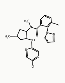 CC1CC(Nc2cnc(Cl)cn2)C(N(C)C(=O)c2cccc(F)c2-n2nccn2)C1